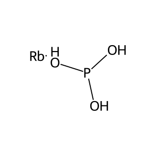 OP(O)O.[Rb]